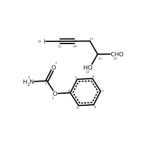 NC(=O)Oc1ccccc1.O=CC(O)CC#CI